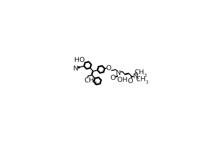 CCC(=C(c1ccc(OCCN(CC=CC(=O)N(C)C)C(=O)O)cc1)c1ccc(O)c(C#N)c1)c1ccccc1